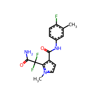 Cc1cc(NC(=O)c2ccn(C)c2C(F)(F)C(N)=O)ccc1F